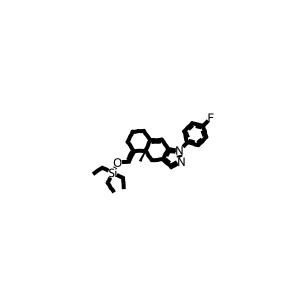 CC[Si](CC)(CC)O/C=C1\CCCC2=Cc3c(cnn3-c3ccc(F)cc3)C[C@@]21C